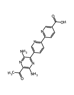 CC(=O)c1nc(N)c(-c2ccc(-c3ccc(C(=O)O)cn3)nc2)nc1N